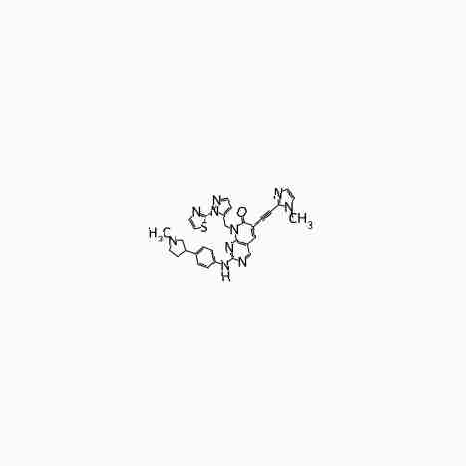 CN1CCC(c2ccc(Nc3ncc4cc(C#Cc5nccn5C)c(=O)n(Cc5ccnn5-c5nccs5)c4n3)cc2)C1